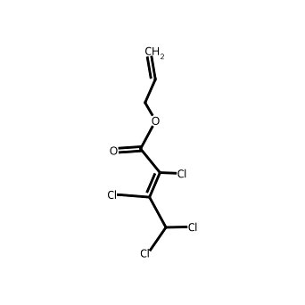 C=CCOC(=O)C(Cl)=C(Cl)C(Cl)Cl